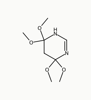 COC1(OC)CC(OC)(OC)NC=N1